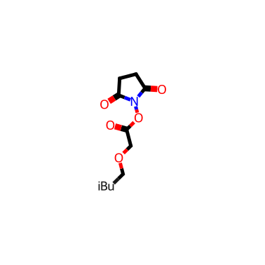 CCC(C)COCC(=O)ON1C(=O)CCC1=O